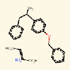 CC(Cc1ccccc1)c1ccc(OCc2ccccc2)cc1.N.O=C(O)C=CC(=O)O